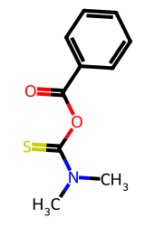 CN(C)C(=S)OC(=O)c1ccccc1